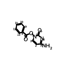 Nc1ccn(OC(=O)c2ccccc2)c(=O)n1